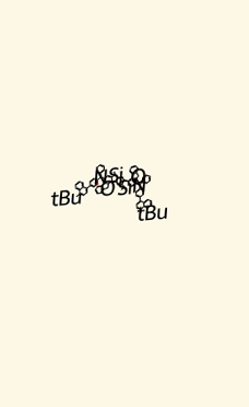 CC(C)(C)c1ccc(-c2ccc(N(c3ccccc3)c3cc4c(c5c3oc3ccccc35)-c3cc5c(cc3[Si]4(C)C)-c3c(cc(N(c4ccccc4)c4ccc(-c6ccc(C(C)(C)C)c7ccccc67)cc4)c4c3oc3ccccc34)[Si]5(C)C)cc2)c2ccccc12